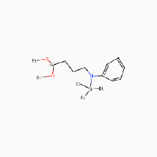 CCO[SiH](CCCN(c1ccccc1)[Si](CC)(CC)CC)OCC